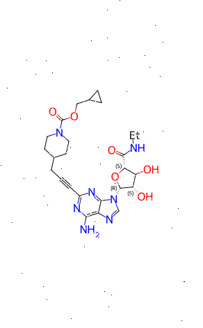 CCNC(=O)[C@H]1O[C@@H](n2cnc3c(N)nc(C#CCC4CCN(C(=O)OCC5CC5)CC4)nc32)[C@@H](O)C1O